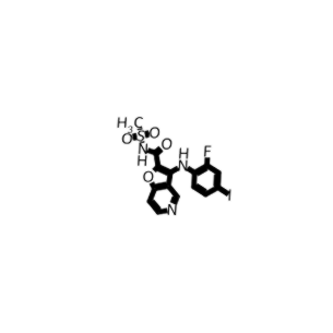 CS(=O)(=O)NC(=O)c1oc2ccncc2c1Nc1ccc(I)cc1F